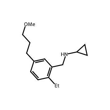 CCc1ccc(CCCOC)cc1CNC1CC1